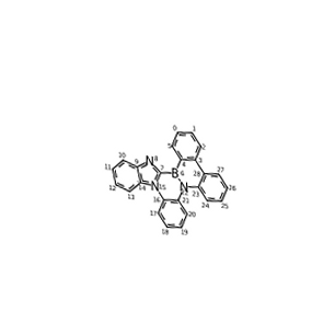 c1ccc2c(c1)B1c3nc4ccccc4n3-c3ccccc3N1c1ccccc1-2